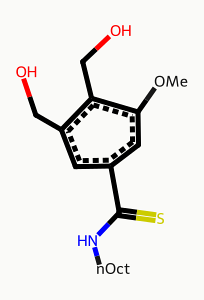 CCCCCCCCNC(=S)c1cc(CO)c(CO)c(OC)c1